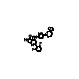 O=C1NCc2nc(-c3c(F)cccc3F)cc(Nc3ccc(N4CCCC5(CCO5)C4)cn3)c21